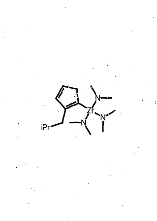 CC(C)CC1=[C]([Zr]([N](C)C)([N](C)C)[N](C)C)CC=C1